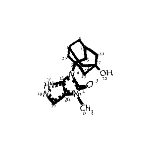 Cn1c(=O)n(C23CC4CC(CC(O)(C4)C2)C3)c2[nH]ncc21